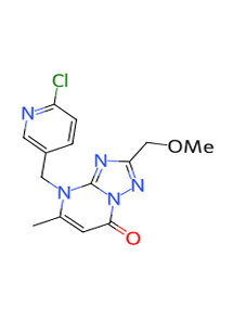 COCc1nc2n(Cc3ccc(Cl)nc3)c(C)cc(=O)n2n1